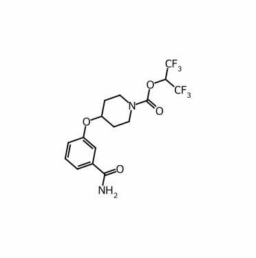 NC(=O)c1cccc(OC2CCN(C(=O)OC(C(F)(F)F)C(F)(F)F)CC2)c1